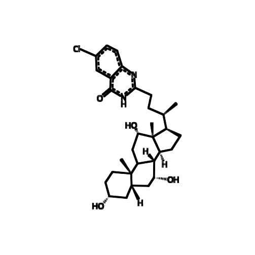 C[C@H](CCc1nc2ccc(Cl)cc2c(=O)[nH]1)[C@H]1CC[C@H]2[C@H]3C(C[C@H](O)[C@]12C)[C@@]1(C)CC[C@@H](O)C[C@H]1C[C@H]3O